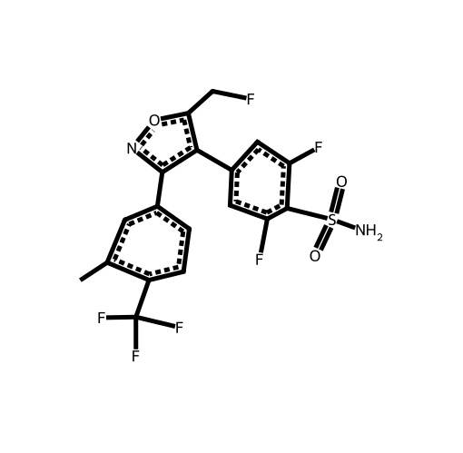 Cc1cc(-c2noc(CF)c2-c2cc(F)c(S(N)(=O)=O)c(F)c2)ccc1C(F)(F)F